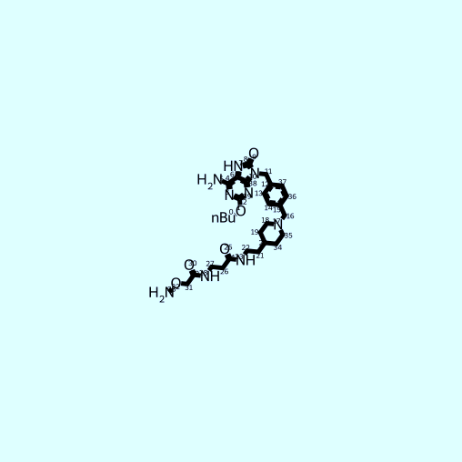 CCCCOc1nc(N)c2[nH]c(=O)n(Cc3ccc(CN4CCC(CCNC(=O)CCNC(=O)CON)CC4)cc3)c2n1